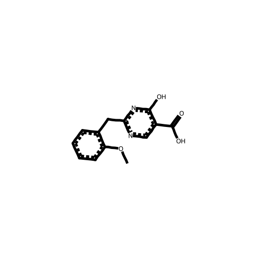 COc1ccccc1Cc1ncc(C(=O)O)c(O)n1